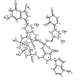 CO[C@@H]1[C@H](OP(=O)([O-])OC[C@H]2O[C@@H](n3ccc(=O)[nH]c3=O)[C@H](O)[C@@H]2O)C(COP(=O)(O)OP(=O)(O)OP(=O)(O)OC[C@H]2O[C@@H](n3c[n+](C)c4c(=O)[nH]c(N)nc43)[C@H](O)C2CNS(C)(=O)=O)O[C@H]1n1cnc2c(N)ncnc21